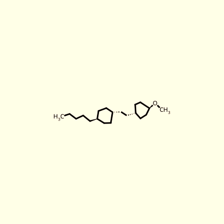 CCCCC[C@H]1CC[C@H](CC[C@H]2CC[C@H](OC)CC2)CC1